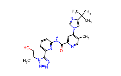 Cc1cnc(C(=O)Nc2cccc(-c3nnnn3[C@H](C)CO)n2)cc1-n1cnc(C(C)(C)C)c1